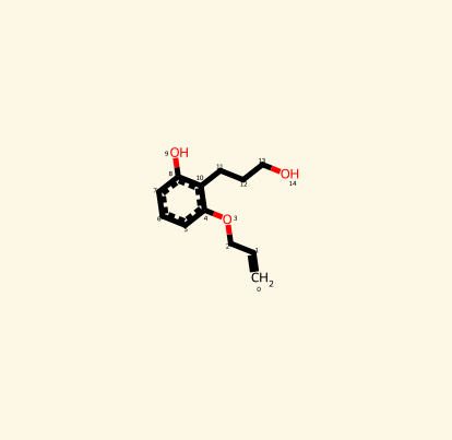 C=CCOc1cccc(O)c1CCCO